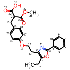 CCc1oc(-c2ccccc2)nc1CCOc1ccc(CC(C(=O)O)C(=O)OC)cc1